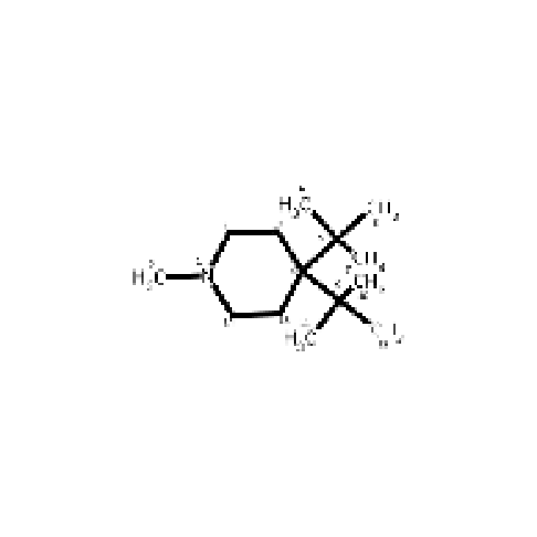 CN1CCC(C(C)(C)C)(C(C)(C)C)CC1